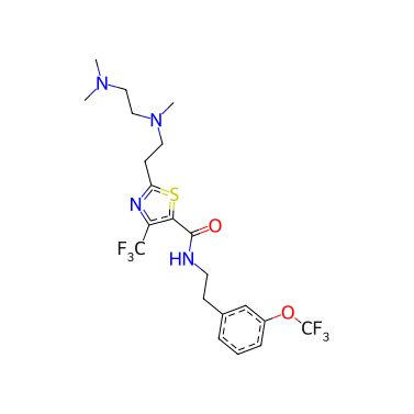 CN(C)CCN(C)CCc1nc(C(F)(F)F)c(C(=O)NCCc2cccc(OC(F)(F)F)c2)s1